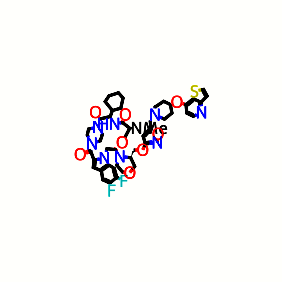 CN[C@@H](C)C(=O)N[C@H](C(=O)N1CCN(C(=O)c2cc3cc(F)c(F)cc3n2CC(=O)N2CCOC[C@H]2COc2cc(CN3CCC(Oc4ccnc5ccsc45)CC3)on2)CC1)C1CCCCC1